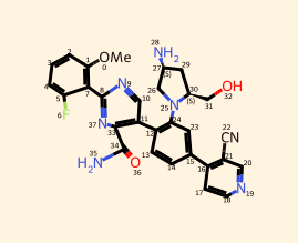 COc1cccc(F)c1-c1ncc(-c2ccc(-c3ccncc3C#N)cc2N2C[C@@H](N)C[C@H]2CO)c(C(N)=O)n1